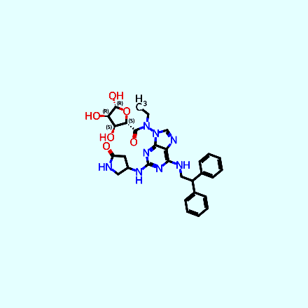 CCN(C(=O)[C@H]1O[C@@H](O)[C@H](O)[C@@H]1O)n1cnc2c(NCC(c3ccccc3)c3ccccc3)nc(NC3CNC(=O)C3)nc21